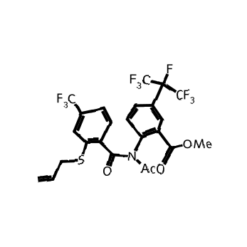 C=CCSc1cc(C(F)(F)F)ccc1C(=O)N(C(C)=O)c1ccc(C(F)(C(F)(F)F)C(F)(F)F)cc1C(=O)OC